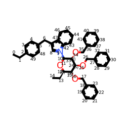 CCc1ccc(Cc2cn(C3O[C@H](CC)[C@@H](OCc4ccccc4)[C@H](OCc4ccccc4)[C@H]3OCc3ccccc3)c3ccccc23)cc1